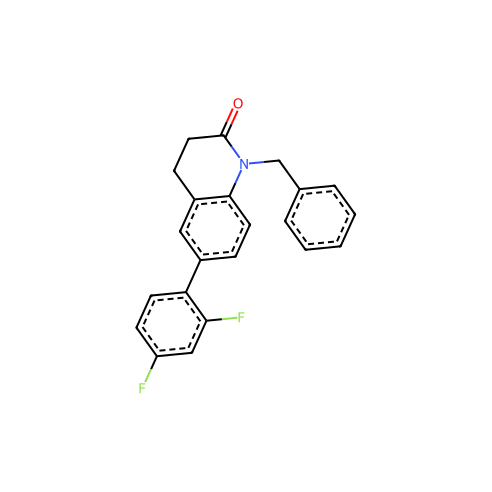 O=C1CCc2cc(-c3ccc(F)cc3F)ccc2N1Cc1ccccc1